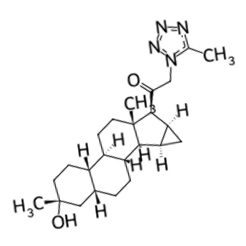 Cc1nnnn1CC(=O)[C@H]1[C@H]2C[C@H]2[C@H]2[C@@H]3CC[C@@H]4C[C@](C)(O)CC[C@@H]4[C@H]3CC[C@@]21C